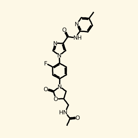 CC(=O)NCC1CN(c2ccc(-n3cnc(C(=O)Nc4ccc(C)cn4)c3)c(F)c2)C(=O)O1